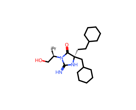 CC(C)[C@H](CO)N1C(=N)N[C@](CCC2CCCCC2)(CC2CCCCC2)C1=O